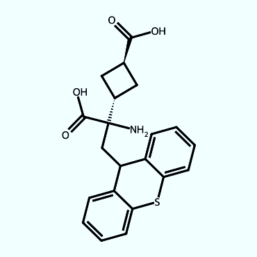 NC(CC1c2ccccc2Sc2ccccc21)(C(=O)O)[C@H]1C[C@H](C(=O)O)C1